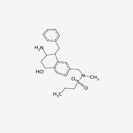 CCCS(=O)(=O)N(C)Cc1ccc2c(c1)C(Cc1ccccc1)C(N)CC2.Cl